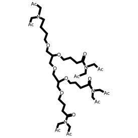 CC(=O)CN(CCCCOCC(COCC(COCCCC(=O)N(CC(C)=O)CC(C)=O)OCCCC(=O)N(CC(C)=O)CC(C)=O)OCCCC(=O)N(CC(C)=O)CC(C)=O)CC(C)=O